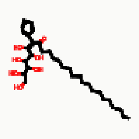 CCCCCCCCCCCCCCCCCCC(=O)C(=C(O)C(O)C(O)C(O)C(O)CO)c1ccccc1